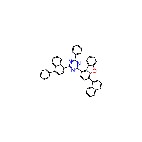 c1ccc(-c2nc(-c3ccc(-c4ccccc4)c4ccccc34)nc(-c3ccc(-c4cccc5ccccc45)c4oc5ccccc5c34)n2)cc1